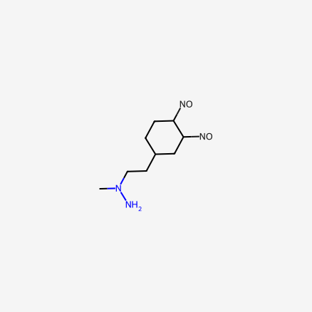 CN(N)CCC1CCC(N=O)C(N=O)C1